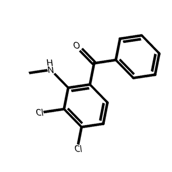 CNc1c(C(=O)c2ccccc2)ccc(Cl)c1Cl